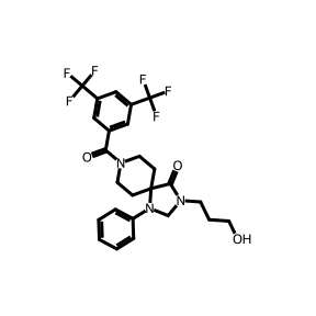 O=C(c1cc(C(F)(F)F)cc(C(F)(F)F)c1)N1CCC2(CC1)C(=O)N(CCCO)CN2c1ccccc1